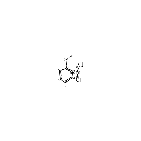 C[CH]c1ccccc1.[Cl][Zn][Cl]